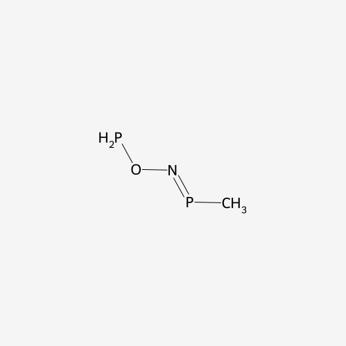 CP=NOP